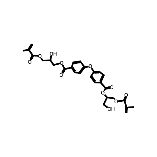 C=C(C)C(=O)OCC(O)COC(=O)c1ccc(Oc2ccc(C(=O)OC(CO)COC(=O)C(=C)C)cc2)cc1